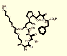 CC[C@H](C)[C@@H](C(CC(O)N1CCC[C@H]1[C@H](OC)C(C)C(=O)N[C@@H](Cc1ccccc1)C(=O)O)OC)N(C)C(=O)[C@@H](NC(=O)[C@H](C(C)C)N(C)CCOCCOCCOCCON)C(C)C